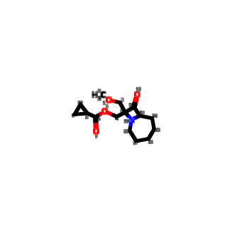 COCC1(COC(=O)C2CC2)C(=O)C2CCCCCN21